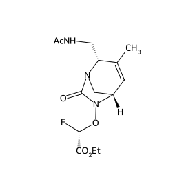 CCOC(=O)[C@H](F)ON1C(=O)N2C[C@@H]1C=C(C)[C@H]2CNC(C)=O